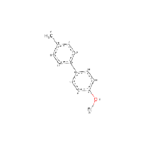 CCOc1ccc(-c2ccc(C)cc2)cc1